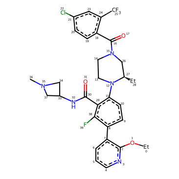 CCOc1ncccc1-c1ccc(N2CCN(C(=O)c3ccc(Cl)cc3C(F)(F)F)C[C@H]2CC)c(C(=O)NC2CN(C)C2)c1F